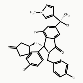 Cn1cc([C@@](C)(O)c2cc(F)c3c(c2)C(=O)N(Cc2ccc(Cl)cn2)[C@@]3(O[C@H]2CCC(=O)C2)c2ccc(Cl)cc2)cn1